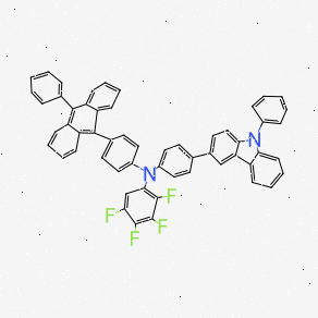 Fc1cc(N(c2ccc(-c3ccc4c(c3)c3ccccc3n4-c3ccccc3)cc2)c2ccc(-c3c4ccccc4c(-c4ccccc4)c4ccccc34)cc2)c(F)c(F)c1F